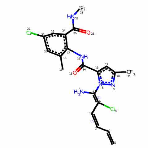 C=C/C=C\C(Cl)=C(/N)n1nc(C(F)(F)F)cc1C(=O)Nc1c(C)cc(Cl)cc1C(=O)NC(C)C